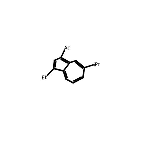 CCc1cc(C(C)=O)c2cc(C(C)C)cccc1-2